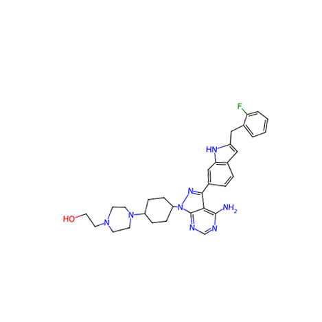 Nc1ncnc2c1c(-c1ccc3cc(Cc4ccccc4F)[nH]c3c1)nn2C1CCC(N2CCN(CCO)CC2)CC1